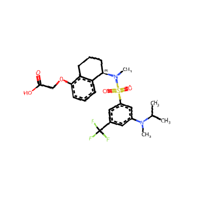 CC(C)N(C)c1cc(C(F)(F)F)cc(S(=O)(=O)N(C)[C@@H]2CCCc3c(OCC(=O)O)cccc32)c1